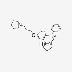 c1ccc([C@@H]2CN3CCC[C@H]3c3cc(OCCCN4CCCCC4)ccc32)cc1